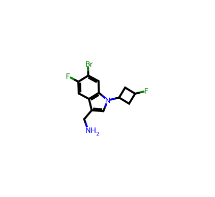 NCc1cn(C2CC(F)C2)c2cc(Br)c(F)cc12